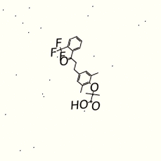 Cc1cc(CCC(=O)c2ccccc2C(F)(F)F)cc(C)c1OC(C)(C)C(=O)O